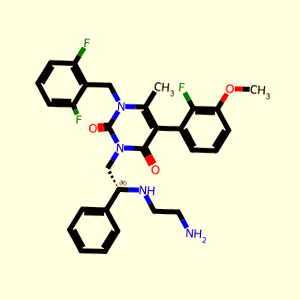 COc1cccc(-c2c(C)n(Cc3c(F)cccc3F)c(=O)n(C[C@H](NCCN)c3ccccc3)c2=O)c1F